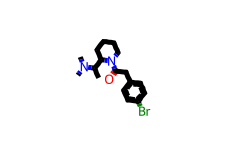 CC(C1CCCCN1C(=O)Cc1ccc(Br)cc1)N(C)C